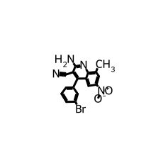 Cc1cc([N+](=O)[O-])cc2c(-c3cccc(Br)c3)c(C#N)c(N)nc12